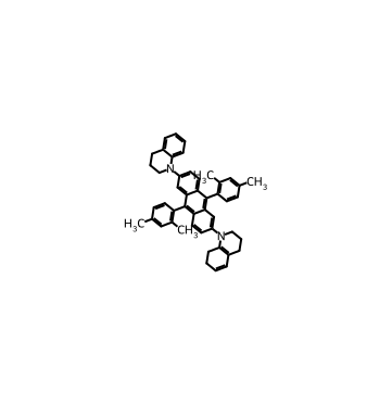 Cc1ccc(-c2c3ccc(N4CCCc5ccccc54)cc3c(-c3ccc(C)cc3C)c3ccc(N4CCCC5=C4CCC=C5)cc23)c(C)c1